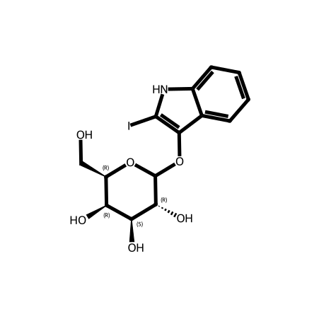 OC[C@H]1OC(Oc2c(I)[nH]c3ccccc23)[C@H](O)[C@@H](O)[C@H]1O